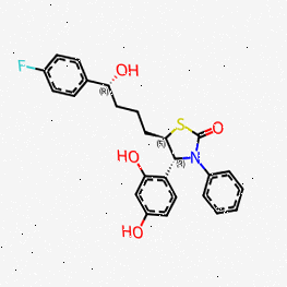 O=C1S[C@H](CCC[C@@H](O)c2ccc(F)cc2)[C@@H](c2ccc(O)cc2O)N1c1ccccc1